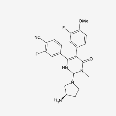 COc1ccc(C2=C(c3ccc(C#N)c(F)c3)NC(N3CC[C@@H](N)C3)N(C)C2=O)cc1F